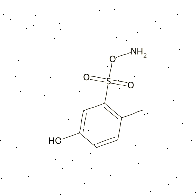 Cc1ccc(O)cc1S(=O)(=O)ON